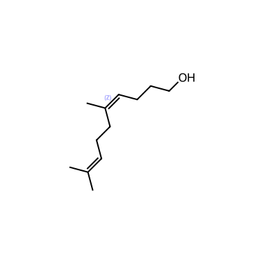 CC(C)=CCC/C(C)=C\CCCO